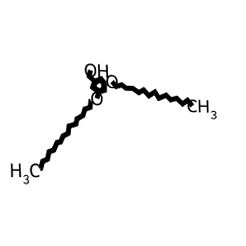 CCCCCCCCCCCCCCCCCOc1cc(CO)cc(OCCCCCCCCCCCCCCC)c1